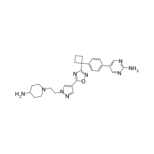 Nc1ncc(-c2ccc(C3(c4noc(-c5cnn(CCN6CCC(N)CC6)c5)n4)CCC3)cc2)cn1